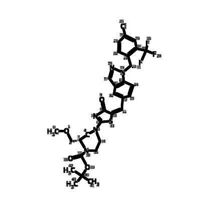 COC[C@@H]1CN(C2=NC(=O)C(=Cc3ccc4c(cnn4Cc4ccc(Cl)cc4C(F)(F)F)c3)S2)CCN1C(=O)OC(C)(C)C